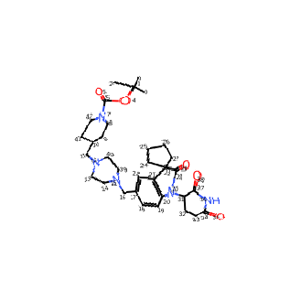 CC(C)(C)OC(=O)N1CCC(CN2CCN(Cc3ccc4c(c3)C3(CCCC3)C(=O)N4C3CCC(=O)NC3=O)CC2)CC1